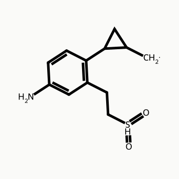 [CH2]C1CC1c1ccc(N)cc1CC[SH](=O)=O